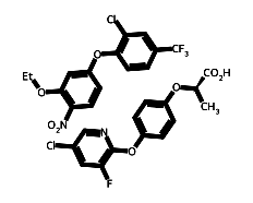 CCOc1cc(Oc2ccc(C(F)(F)F)cc2Cl)ccc1[N+](=O)[O-].C[C@@H](Oc1ccc(Oc2ncc(Cl)cc2F)cc1)C(=O)O